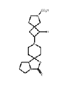 CCC1C(N2CCC3(CC2)OC(=O)N2CCCC23)CC12CCN(C(=O)O)C2